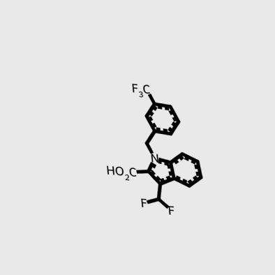 O=C(O)c1c(C(F)F)c2ccccc2n1Cc1cccc(C(F)(F)F)c1